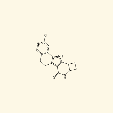 O=C1NC2CCC2c2[nH]c3c(c21)CCc1cnc(Cl)cc1-3